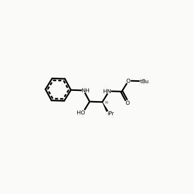 CC(C)[C@H](NC(=O)OC(C)(C)C)C(O)Nc1ccccc1